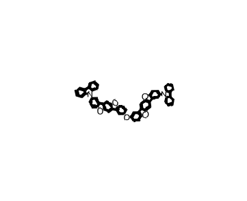 c1ccc2c(c1)c1ccccc1n2-c1ccc2oc3cc4c(cc3c2c1)oc1ccc(Oc2ccc3oc5cc6c(cc5c3c2)oc2ccc(-n3c5ccccc5c5ccccc53)cc26)cc14